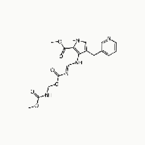 COC(=O)NCOC(=O)/N=C/Nc1c(Cc2cccnc2)c[nH]c1C(=O)OC